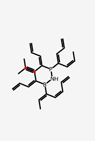 C=C/C=C\C(=C/C)B(NP(C(/C=C\C)=C/C=C)C(/C=C\C)=C/C=C)C(/C=C\C)=C/C=C